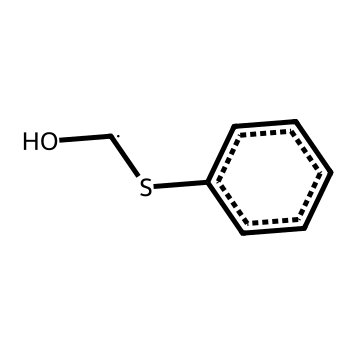 O[CH]Sc1ccccc1